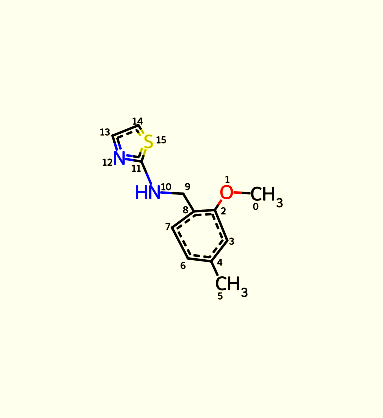 COc1cc(C)ccc1CNc1nccs1